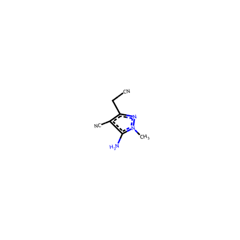 Cn1nc(CC#N)c(C#N)c1N